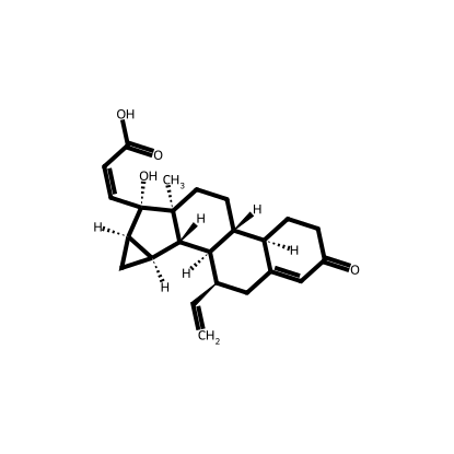 C=C[C@@H]1CC2=CC(=O)CC[C@@H]2[C@H]2CC[C@@]3(C)[C@@H]([C@H]4C[C@H]4[C@@]3(O)/C=C\C(=O)O)[C@@H]21